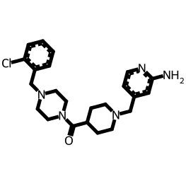 Nc1cc(CN2CCC(C(=O)N3CCN(Cc4ccccc4Cl)CC3)CC2)ccn1